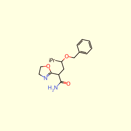 CC(C)C(CC(C(N)=O)C1=NCCO1)OCc1ccccc1